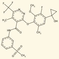 COc1c(F)c(C2(O)CC2)cc(C)c1Oc1nnc(C(F)(F)F)c(C)c1C(=O)Nc1cccc(S(C)(=O)=O)c1